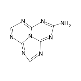 NC1=NC2=NC=NC3=NC=NC(=N1)N32